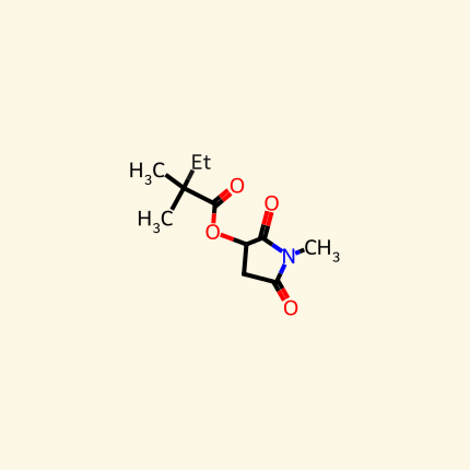 CCC(C)(C)C(=O)OC1CC(=O)N(C)C1=O